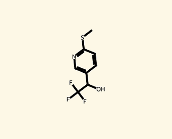 CSc1ccc(C(O)C(F)(F)F)cn1